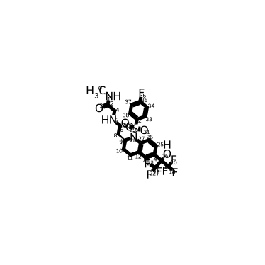 CNC(=O)CNC(=O)C[C@@H]1CCc2cc(C(O)(C(F)(F)F)C(F)(F)F)ccc2N1S(=O)(=O)c1ccc(F)cc1